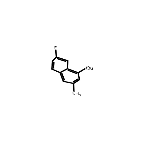 Cc1cc(C(C)(C)C)c2cc(F)ccc2c1